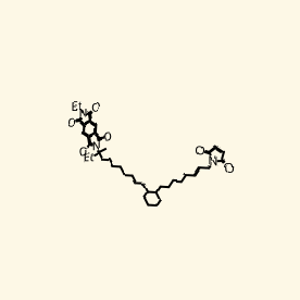 CCn1c(=O)c2cc3c(=O)n(C(C)(CC)CCCCCCCCC4CCCCC4CCCCCCCCN4C(=O)C=CC4=O)c(=O)c3cc2c1=O